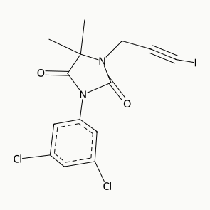 CC1(C)C(=O)N(c2cc(Cl)cc(Cl)c2)C(=O)N1CC#CI